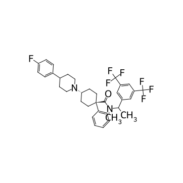 CC(c1cc(C(F)(F)F)cc(C(F)(F)F)c1)N(C)C(=O)[C@]1(c2ccccc2)CC[C@@H](N2CCC(c3ccc(F)cc3)CC2)CC1